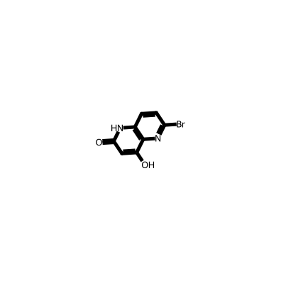 O=c1cc(O)c2nc(Br)ccc2[nH]1